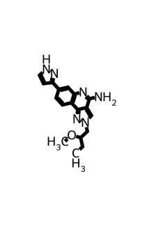 CCC(Cn1cc2c(N)nc3cc(-c4cc[nH]n4)ccc3c2n1)OC